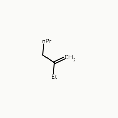 C=C(CC)CC[CH]C